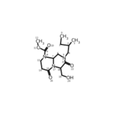 CCC(C)CN1CC2N(C(=O)OC)CCC(=O)N2C(CO)C1=O